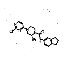 CC(C)C1CN(c2ccnc(Cl)n2)CCN1C(=O)Nc1ccc2c(c1)CCC2